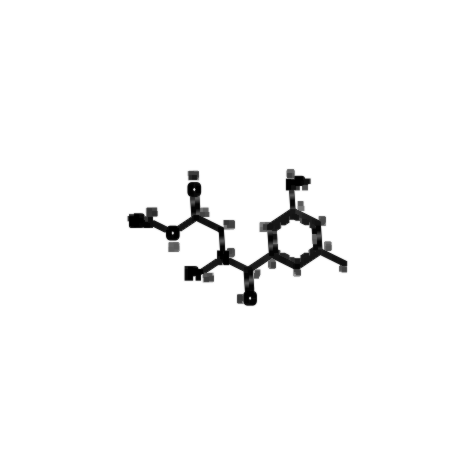 CCCc1cc(C)cc(C(=O)N(CC(=O)OC(C)(C)C)C(C)C)c1